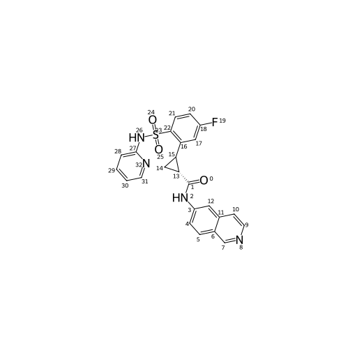 O=C(Nc1ccc2cnccc2c1)[C@@H]1CC1c1cc(F)ccc1S(=O)(=O)Nc1ccccn1